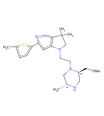 COC[C@H]1CN[C@H](C)CN1CCN1CC(C)(C)c2cnc(-c3ccc(C)s3)cc21